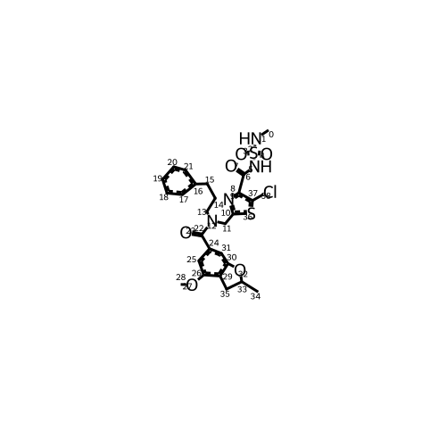 CNS(=O)(=O)NC(=O)c1nc(CN(CCCc2ccccc2)C(=O)c2cc(OC)c3c(c2)OC(C)C3)sc1Cl